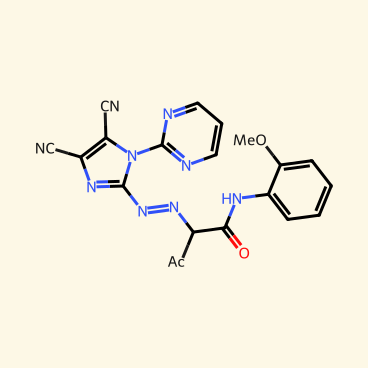 COc1ccccc1NC(=O)C(N=Nc1nc(C#N)c(C#N)n1-c1ncccn1)C(C)=O